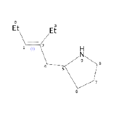 CC/C=C(\CC)CC1CCCN1